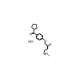 Cl.NC/C=C(/F)COc1ccc(C(=O)N2CCCC2)cc1